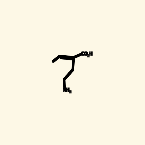 CC=C(CCN)C(=O)O